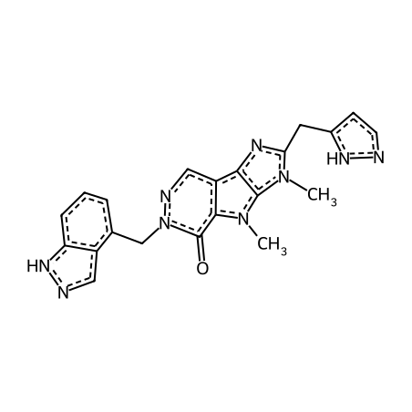 Cn1c(Cc2ccn[nH]2)nc2c3cnn(Cc4cccc5[nH]ncc45)c(=O)c3n(C)c21